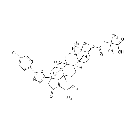 CC(C)C1=C2[C@H]3CC[C@@H]4[C@@]5(C)CC[C@H](OC(=O)CC(C)(C)C(=O)O)C(C)(C)[C@@H]5CC[C@@]4(C)[C@]3(C)CC[C@@]2(c2nnc(-c3ncc(Cl)cn3)o2)CC1=O